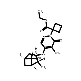 Bc1c(N[C@@H]2C[C@@H]3C[C@H]([C@H]2C)C3(C)C)cnn(C2(C(=O)OCC)CCC2)c1=O